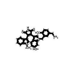 Cc1ccc(CN)cc1Cn1cc(C2=C(c3cn(C)c4ccccc34)C(=O)NC2=O)c2ccccc21.Cl